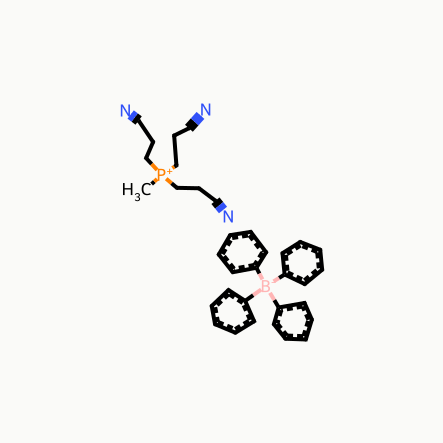 C[P+](CCC#N)(CCC#N)CCC#N.c1ccc([B-](c2ccccc2)(c2ccccc2)c2ccccc2)cc1